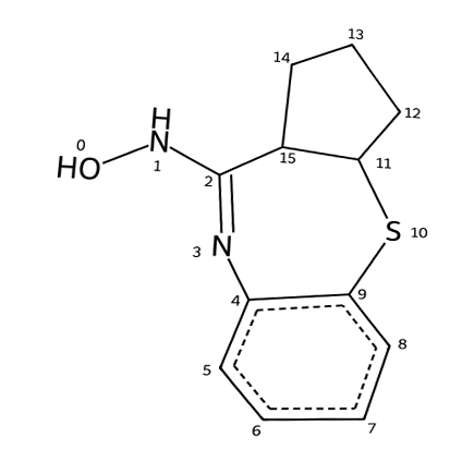 ONC1=Nc2ccccc2SC2CCCC12